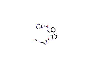 O=C(Nc1cccc(-c2cccc3c2ccn3C(=O)c2nc3c(s2)CNCC3)c1Cl)c1ncc(CNCCO)s1